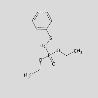 CCOP(=O)([13CH2]Sc1ccccc1)OCC